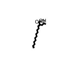 C=CCCCCCCCCC/C=C(\CC(C)=O)C(=O)O